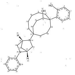 Oc1ccccc1C12CCCCCC(N3C[C@H]4C[C@@H]3CN4c3ccccn3)(CCC1)CCC2O